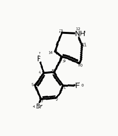 Fc1cc(Br)cc(F)c1C1=CCNCC1